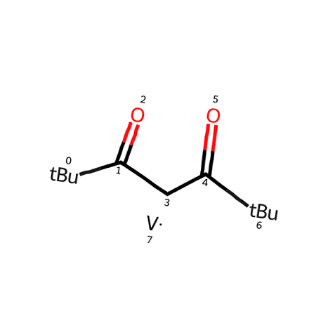 CC(C)(C)C(=O)CC(=O)C(C)(C)C.[V]